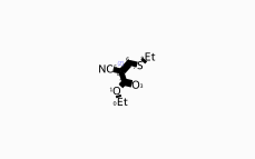 CCOC(=O)/C(C#N)=C\SCC